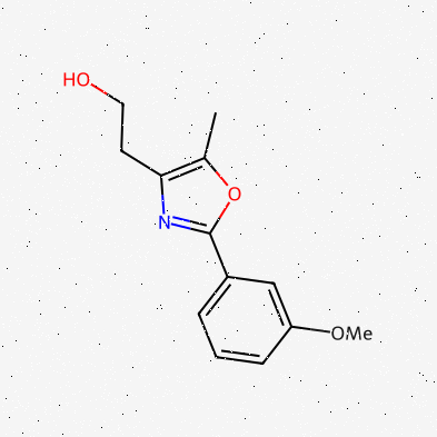 COc1cccc(-c2nc(CCO)c(C)o2)c1